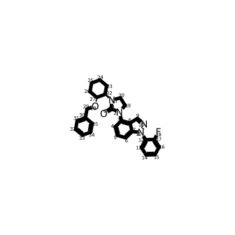 O=C1N(c2cccc3c2cnn3-c2ccccc2F)CCN1[C@@H]1CCCC[C@H]1OCc1ccccc1